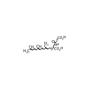 CC(C)=CCC/C(C)=C/CC/C(C)=C/CS[C@H](CNC(=O)CCC(=O)O)C(=O)O